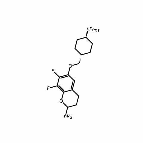 CCCCC[C@H]1CC[C@H](COc2cc3c(c(F)c2F)OC(CCCC)CC3)CC1